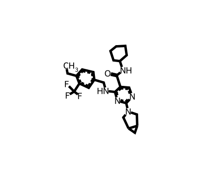 CCc1ccc(CNc2nc(N3CC4CC4C3)ncc2C(=O)NC2CCCCC2)cc1C(F)(F)F